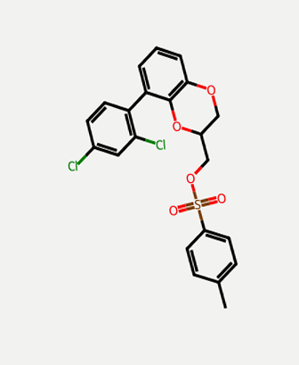 Cc1ccc(S(=O)(=O)OCC2COc3cccc(-c4ccc(Cl)cc4Cl)c3O2)cc1